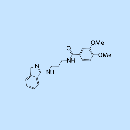 COc1ccc(C(=O)NCCCNC2=NCc3ccccc32)cc1OC